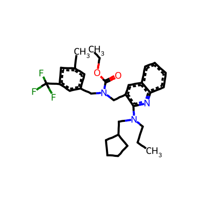 CCCN(CC1CCCC1)c1nc2ccccc2cc1CN(Cc1cc(C)cc(C(F)(F)F)c1)C(=O)OCC